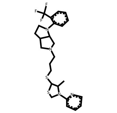 CC1C(SCCCN2CC3CCN(c4ccccc4C(F)(F)F)C3C2)SCN1c1ccccn1